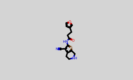 N#Cc1c(NC(=O)CCc2ccoc2)sc2c1CCNC2